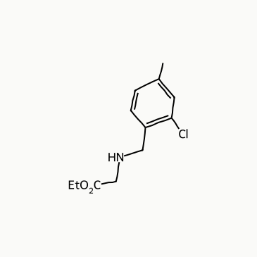 CCOC(=O)CNCc1ccc(C)cc1Cl